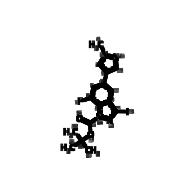 Cn1cc(-c2cc(F)c3c(c2)c(I)nn3C(=O)OC(C)(C)C)cn1